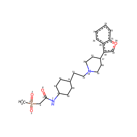 CS(=O)(=O)CC(=O)NC1CCC(CCN2CCC(c3coc4ccccc34)CC2)CC1